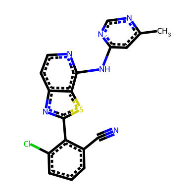 Cc1cc(Nc2nccc3nc(-c4c(Cl)cccc4C#N)sc23)ncn1